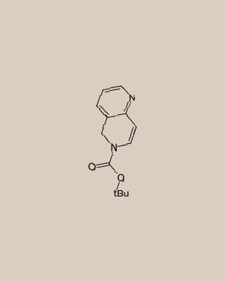 CC(C)(C)OC(=O)N1C=Cc2ncccc2C1